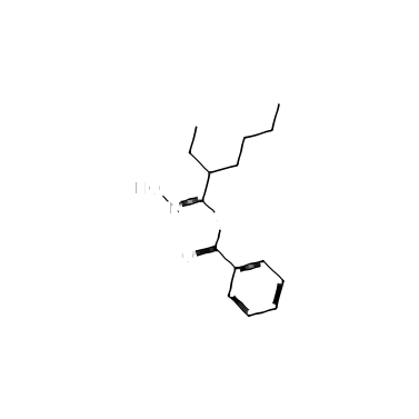 CCCCC(CC)C(=NO)OC(=O)c1ccccc1